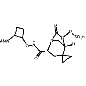 CNC1CCC1ONC(=O)[C@@H]1CC2(CC2)[C@@H]2CN1C(=O)N2OS(=O)(=O)O